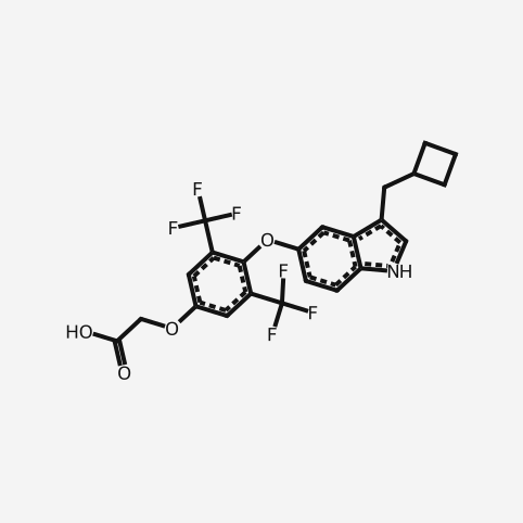 O=C(O)COc1cc(C(F)(F)F)c(Oc2ccc3[nH]cc(CC4CCC4)c3c2)c(C(F)(F)F)c1